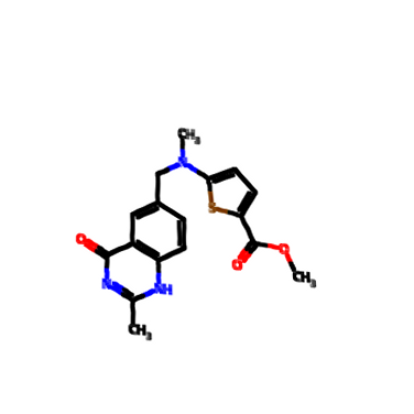 COC(=O)c1ccc(N(C)Cc2ccc3[nH]c(C)nc(=O)c3c2)s1